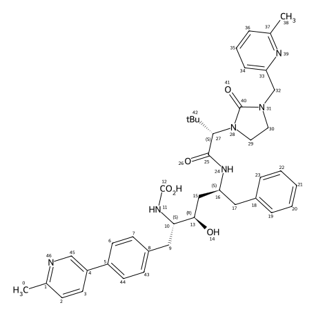 Cc1ccc(-c2ccc(C[C@H](NC(=O)O)[C@H](O)C[C@H](Cc3ccccc3)NC(=O)[C@@H](N3CCN(Cc4cccc(C)n4)C3=O)C(C)(C)C)cc2)cn1